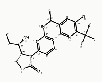 CC[C@@H](O)[C@H]1COC(=O)N1c1ccnc(N[C@@H](C)c2cnc(C(C)(F)F)c(Cl)c2)n1